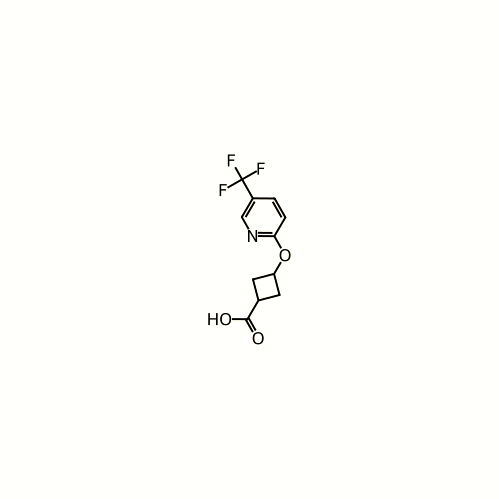 O=C(O)C1CC(Oc2ccc(C(F)(F)F)cn2)C1